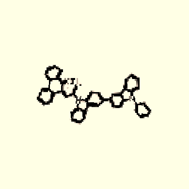 C=c1/c(=C\C(=C/C)n2c3ccccc3c3cc(-c4ccc5c(c4)c4ccccc4n5-c4ccccc4)ccc32)c2ccccc2c2ccccc12